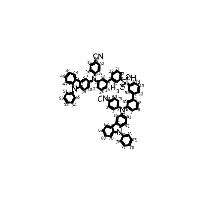 [C-]#[N+]c1ccc(N(c2cccc(-c3cccc([Si](C)(C)c4cccc(-c5cccc(N(c6ccc(C#N)cc6)c6ccc7c(c6)c6ccccc6n7-c6ccccc6)c5)c4)c3)c2)c2ccc3c(c2)c2ccccc2n3-c2ccccc2)cc1